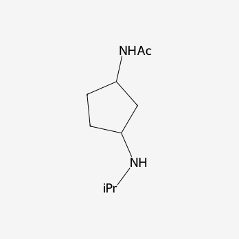 CC(=O)NC1CCC(NC(C)C)C1